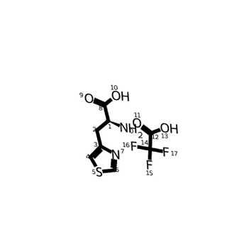 N[C@@H](Cc1cscn1)C(=O)O.O=C(O)C(F)(F)F